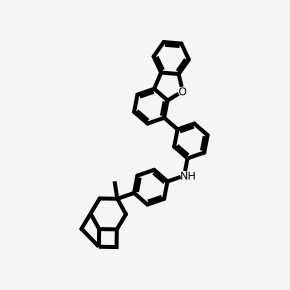 CC1(c2ccc(Nc3cccc(-c4cccc5c4oc4ccccc45)c3)cc2)CC2CC3CC(C1)C32